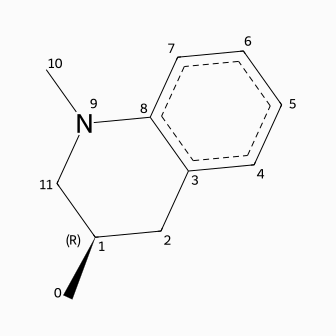 C[C@@H]1Cc2ccccc2N(C)C1